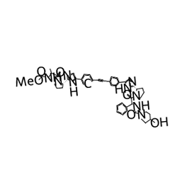 COC(=O)NC(C)C(=O)N1CCC[C@H]1c1ncc(-c2ccc(C#Cc3ccc(-c4cnc([C@@H]5CCCN5C(=O)[C@H](NC(=O)N5CCC(O)CC5)c5ccccc5)[nH]4)cc3)cc2)[nH]1